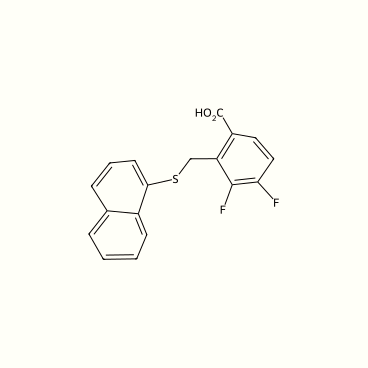 O=C(O)c1ccc(F)c(F)c1CSc1cccc2ccccc12